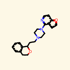 c1ccc2c(c1)CCOC2CCN1CCN(c2nccc3occc23)CC1